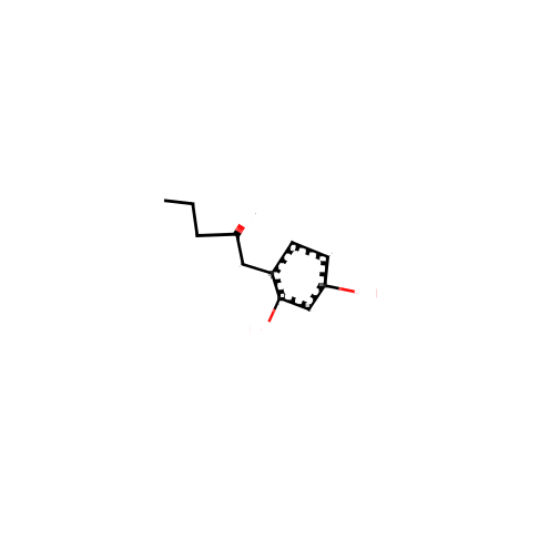 CCCC(=O)Cc1ccc(O)cc1O